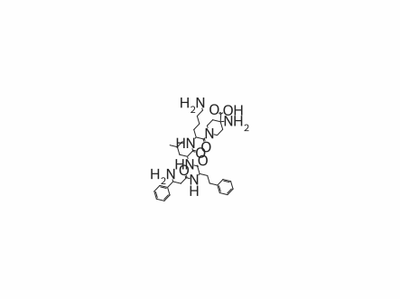 CC(C)CC(NC(=O)C(CCc1ccccc1)NC(=O)CC(N)c1ccccc1)C(=O)NC(CCCCN)C(=O)N1CCC(N)(C(=O)O)CC1